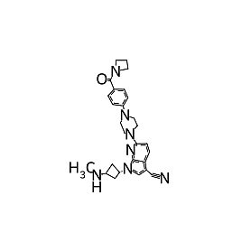 CN[C@H]1C[C@H](n2cc(C#N)c3ccc(N4CCN(c5ccc(C(=O)N6CCC6)cc5)CC4)nc32)C1